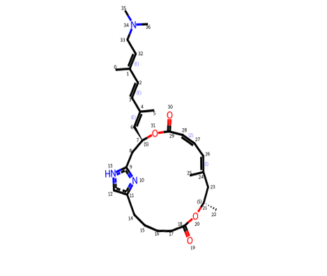 CC(/C=C/C(C)=C/[C@@H]1Cc2nc(c[nH]2)CCCCC(=O)O[C@@H](C)C/C(C)=C/C=C\C(=O)O1)=C\CN(C)C